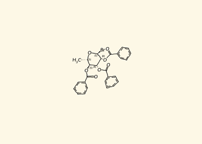 C[C@@H]1O[C@@H](Br)[C@H](OC(=O)c2ccccc2)[C@H](OC(=O)c2ccccc2)[C@H]1OC(=O)c1ccccc1